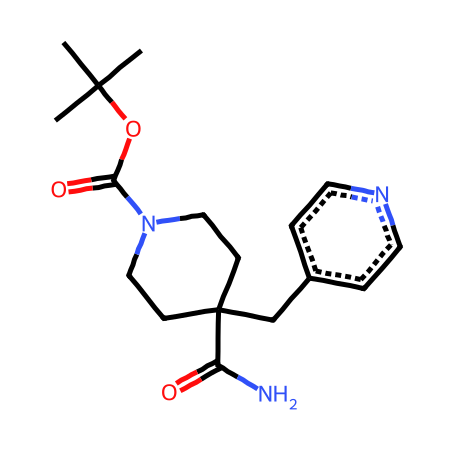 CC(C)(C)OC(=O)N1CCC(Cc2ccncc2)(C(N)=O)CC1